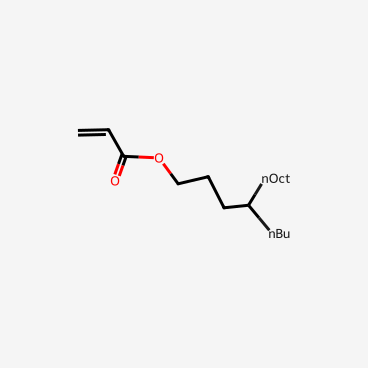 C=CC(=O)OCCCC(CCCC)CCCCCCCC